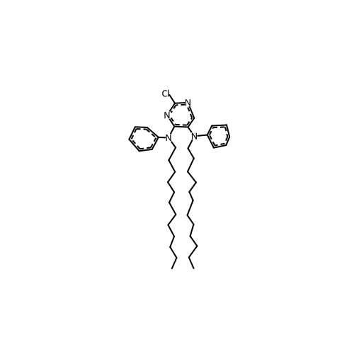 CCCCCCCCCCCCN(c1ccccc1)c1cnc(Cl)nc1N(CCCCCCCCCCCC)c1ccccc1